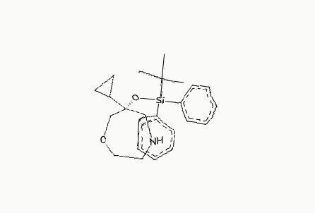 CC(C)(C)[Si](O[C@]1(C2CC2)CNCCOC1)(c1ccccc1)c1ccccc1